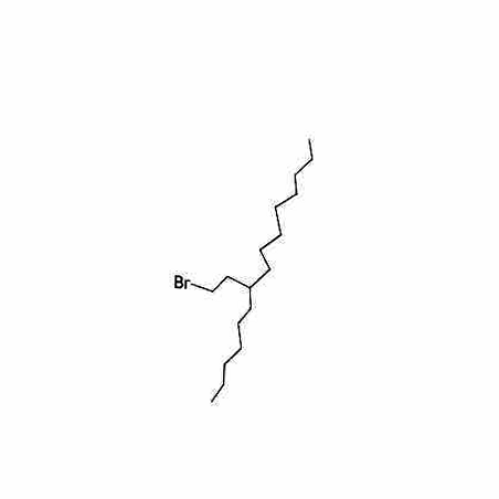 CCCCCCCCC(CCBr)CCCCCC